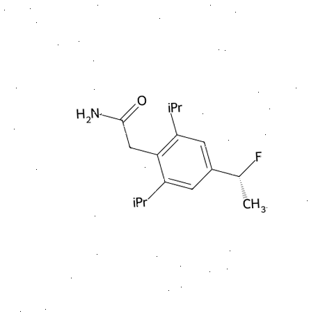 CC(C)c1cc([C@@H](C)F)cc(C(C)C)c1CC(N)=O